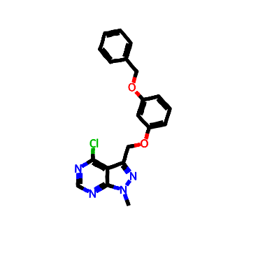 Cn1nc(COc2cccc(OCc3ccccc3)c2)c2c(Cl)ncnc21